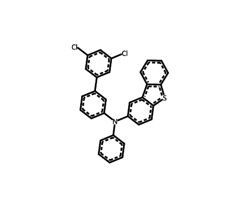 Clc1cc(Cl)cc(-c2cccc(N(c3ccccc3)c3ccc4sc5ccccc5c4c3)c2)c1